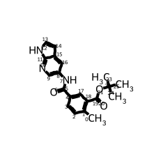 Cc1ccc(C(=O)Nc2cnc3[nH]ccc3c2)cc1C(=O)OC(C)(C)C